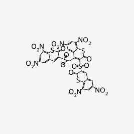 O=c1sc2c([N+](=O)[O-])cc([N+](=O)[O-])cc2cc1S(=O)(=O)Cc1c(S(=O)(=O)c2cc3cc([N+](=O)[O-])cc([N+](=O)[O-])c3sc2=O)c(=O)sc2c([N+](=O)[O-])cc([N+](=O)[O-])cc12